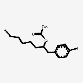 CCCCCCC(Cc1ccc(I)cc1)OC(=O)O